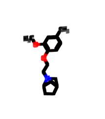 COc1cc(C)ccc1OCCN1CC2CCC1C2